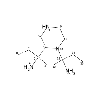 CCC(C)(N)C1CNCCN1C(C)(N)CC